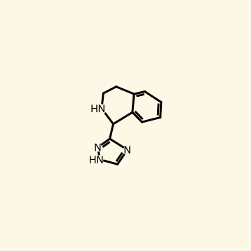 c1ccc2c(c1)CCNC2c1nc[nH]n1